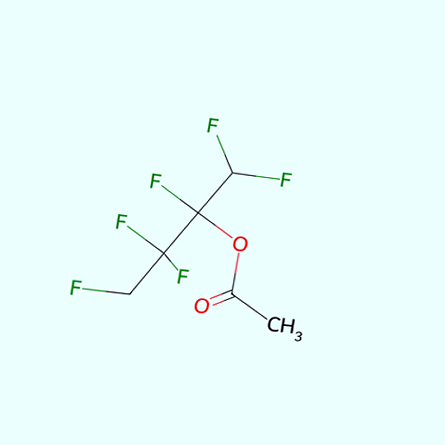 CC(=O)OC(F)(C(F)F)C(F)(F)CF